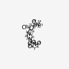 O=C(ON1C(=O)CCC1=O)N1CCN(Cc2ccc(C(=O)N3CCC3)cc2Cl)CC1